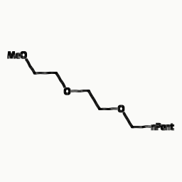 CCCCCCOCCOCCOC